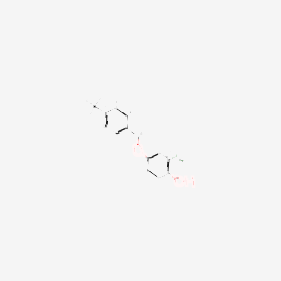 CC(C)(C)c1ccc(COc2ccc(O)c(Cl)c2)cc1